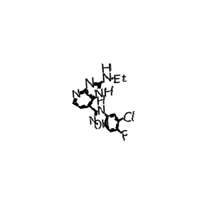 CCNc1nc2nccc(/C(=N/O)Nc3ccc(F)c(Cl)c3)c2[nH]1